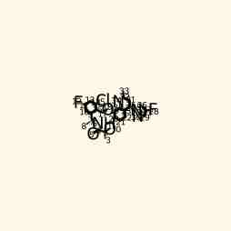 CO[C@@H](C)C(=O)N[C@@H](C)c1cc(F)cc(Cl)c1COc1cccc2c(-n3cc(F)cn3)cc(C)nc12